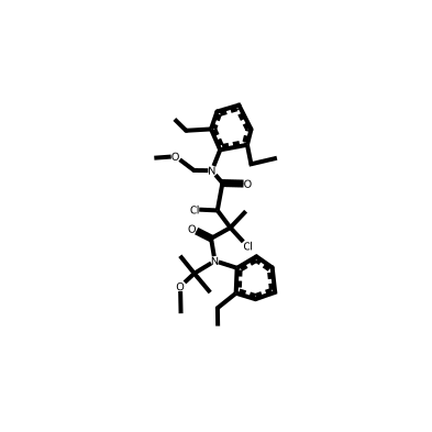 CCc1ccccc1N(C(=O)C(C)(Cl)C(Cl)C(=O)N(COC)c1c(CC)cccc1CC)C(C)(C)OC